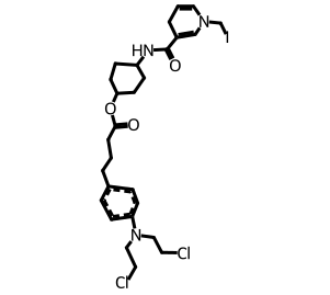 O=C(CCCc1ccc(N(CCCl)CCCl)cc1)OC1CCC(NC(=O)C2=CN(CI)C=CC2)CC1